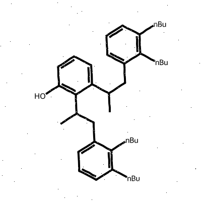 CCCCc1cccc(CC(C)c2cccc(O)c2C(C)Cc2cccc(CCCC)c2CCCC)c1CCCC